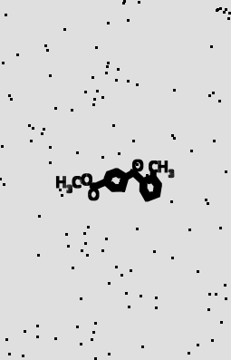 COC(=O)c1ccc(C(=O)c2ccccc2C)cc1